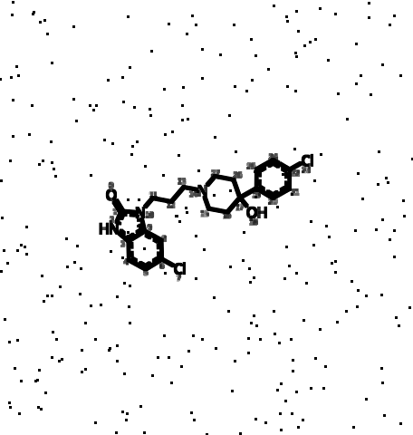 O=c1[nH]c2ccc(Cl)cc2n1CCCN1CCC(O)(c2ccc(Cl)cc2)CC1